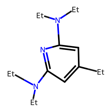 CCc1cc(N(CC)CC)nc(N(CC)CC)c1